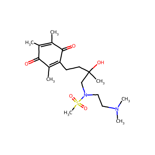 CC1=C(C)C(=O)C(CCC(C)(O)CN(CCN(C)C)S(C)(=O)=O)=C(C)C1=O